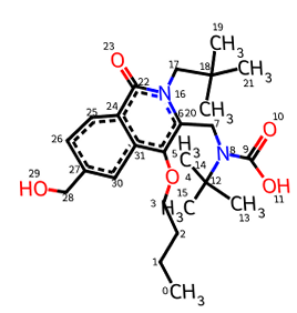 CCCCOc1c(CN(C(=O)O)C(C)(C)C)n(CC(C)(C)C)c(=O)c2ccc(CO)cc12